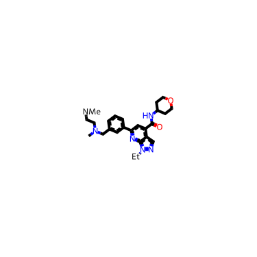 CCn1ncc2c(C(=O)NC3CCOCC3)cc(-c3cccc(CN(C)CCNC)c3)nc21